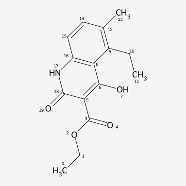 CCOC(=O)c1c(O)c2c(CC)c(C)ccc2[nH]c1=O